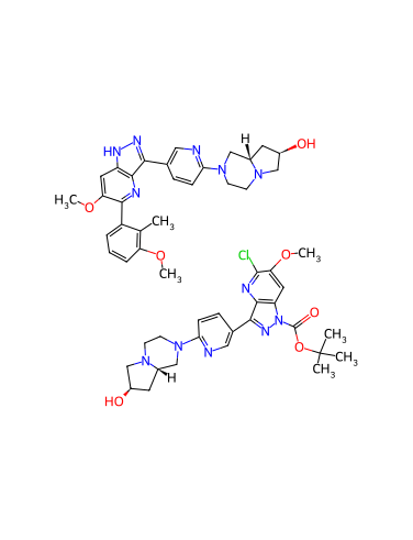 COc1cc2[nH]nc(-c3ccc(N4CCN5C[C@H](O)C[C@H]5C4)nc3)c2nc1-c1cccc(OC)c1C.COc1cc2c(nc1Cl)c(-c1ccc(N3CCN4C[C@H](O)C[C@H]4C3)nc1)nn2C(=O)OC(C)(C)C